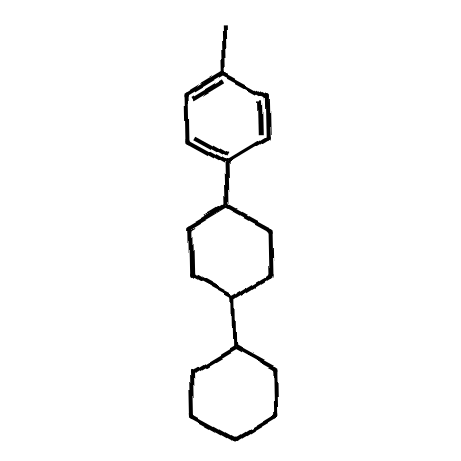 Cc1ccc(C2CCC(C3CCCCC3)CC2)cc1